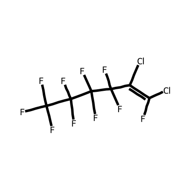 F/C(Cl)=C(/Cl)C(F)(F)C(F)(F)C(F)(F)C(F)(F)F